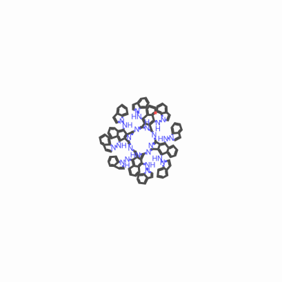 c1ccc2c(c1)ccn2Nc1c2c(c(Nn3ccc4ccccc43)c3ccccc13)-c1nc-2nc2[nH]c(nc3nc(nc4[nH]c(n1)c1c(Nn5ccc6ccccc65)c5ccccc5c(Nn5ccc6ccccc65)c41)-c1c-3c(Nn3ccc4ccccc43)c3ccccc3c1Nn1ccc3ccccc31)c1c(Nn3ccc4ccccc43)c3ccccc3c(Nn3ccc4ccccc43)c21